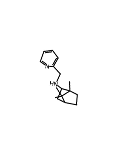 CC1(C)C2CCC1(C)C(NCc1ccccn1)C2